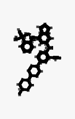 COc1cc(N2CCC(N3CCN(C)CC3)CC2)ccc1Nc1nc(Nc2ccccc2P(=O)(C(C)C)C(C)C)c2sccc2n1